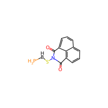 O=C1c2cccc3cccc(c23)C(=O)N1SBP